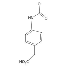 [O]C(=O)Nc1ccc(CC(=O)O)cc1